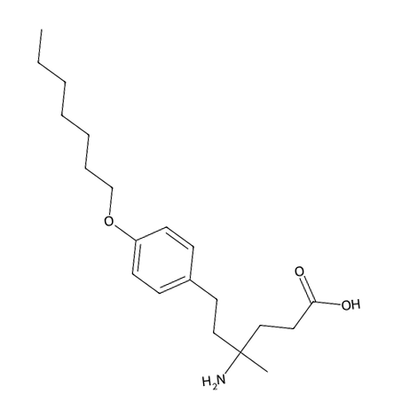 CCCCCCCOc1ccc(CCC(C)(N)CCC(=O)O)cc1